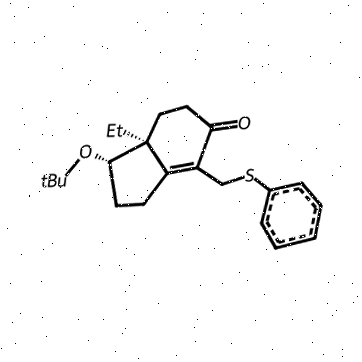 CC[C@]12CCC(=O)C(CSc3ccccc3)=C1CC[C@@H]2OC(C)(C)C